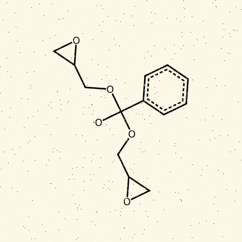 [O]C(OCC1CO1)(OCC1CO1)c1ccccc1